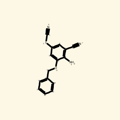 N#CSc1cc(C#N)c(N)c(OCc2ccccc2)c1